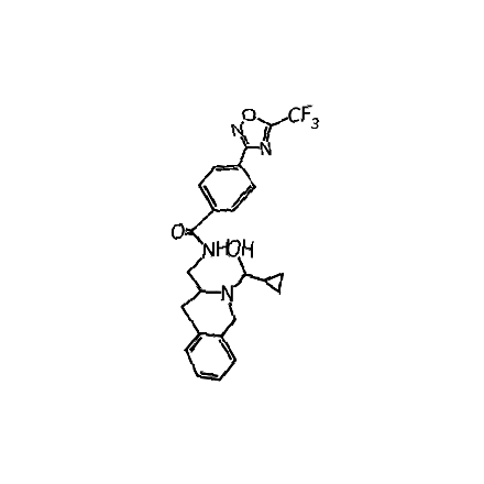 O=C(NCC1Cc2ccccc2CN1C(O)C1CC1)c1ccc(-c2noc(C(F)(F)F)n2)cc1